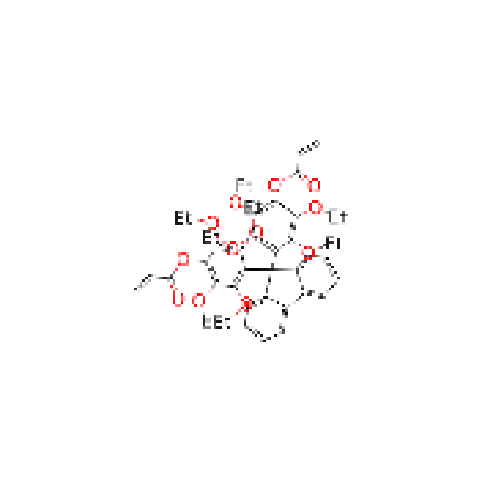 C=CC(=O)Oc1c(OCC)c(OCC)c(C2(c3c(OCC)c(OCC)c(OC(=O)C=C)c(OCC)c3OCC)c3ccccc3-c3ccccc32)c(OCC)c1OCC